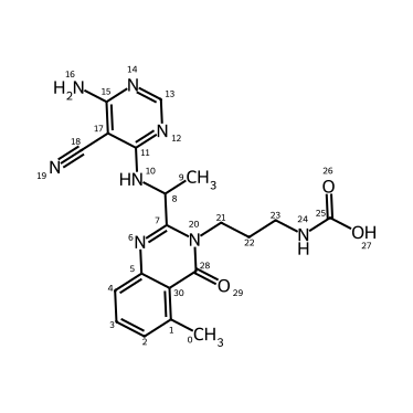 Cc1cccc2nc(C(C)Nc3ncnc(N)c3C#N)n(CCCNC(=O)O)c(=O)c12